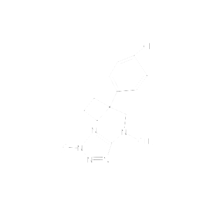 CN(CC1(c2ccc(Cl)cc2)CCC1)c1nnn(C)n1